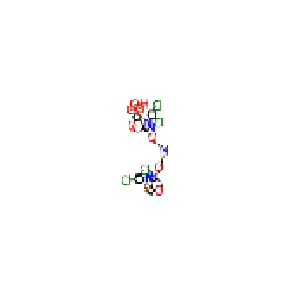 CN(CCCOCc1nn(-c2ccc(Cl)cc2Cl)c2c1CCOc1ccsc1-2)CCCOCc1nn(-c2ccc(Cl)cc2Cl)c2c1CCOc1cc(S(=O)(=O)O)sc1-2